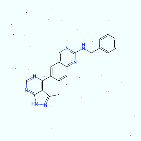 Cc1n[nH]c2ncnc(-c3ccc4nc(NCc5ccccc5)ncc4c3)c12